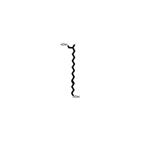 CCCCCCCCCCCCCC=CCCCCCCCCCC(C)CCCCCCCCCCC